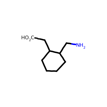 NCC1CCCCC1CC(=O)O